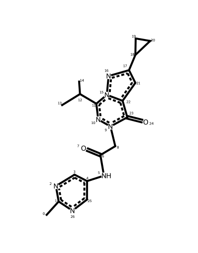 Cc1ncc(NC(=O)Cn2nc(C(C)C)n3nc(C4CC4)cc3c2=O)cn1